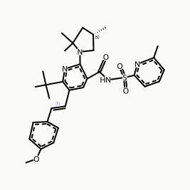 COc1ccc(/C=C/c2cc(C(=O)NS(=O)(=O)c3cccc(C)n3)c(N3C[C@@H](C)CC3(C)C)nc2C(C)(C)C)cc1